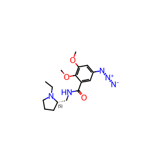 CCN1CCC[C@H]1CNC(=O)c1cc(N=[N+]=[N-])cc(OC)c1OC